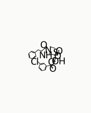 N[C@@H](Cc1ccccc1)C(=O)N1CCS(=O)(=O)CC1.O=C(OO)c1cccc(Cl)c1